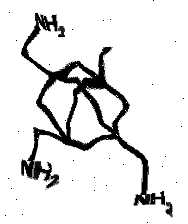 CC12CC3(CN)CC(CN)(C1)CC(CN)(C2)C3